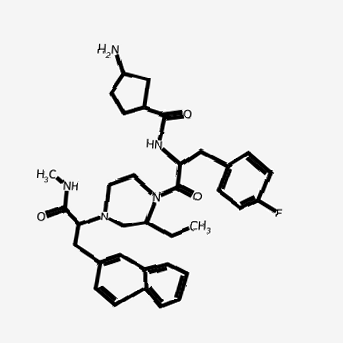 CCC1CN(C(Cc2ccc3ccccc3c2)C(=O)NC)CCN1C(=O)C(Cc1ccc(F)cc1)NC(=O)C1CCC(N)C1